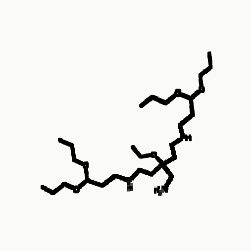 CCCOC(CCPCCC(CN)(CCPCCC(OCCC)OCCC)OCC)OCCC